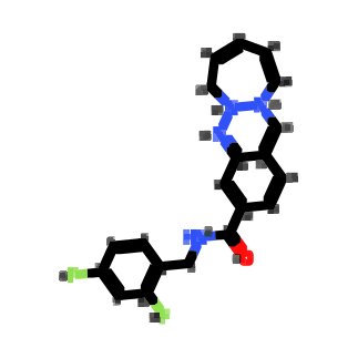 O=C(NCc1ccc(F)cc1F)c1ccc2c(c1)=NN1CC=CC=CN1C=2